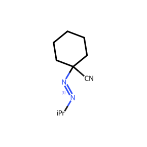 CC(C)/N=N/C1(C#N)CCCCC1